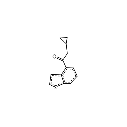 O=C(CC1CC1)c1cccc2sccc12